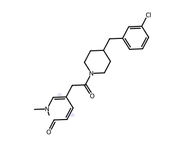 CN(C)/C=C(\C=C/C=O)CC(=O)N1CCC(Cc2cccc(Cl)c2)CC1